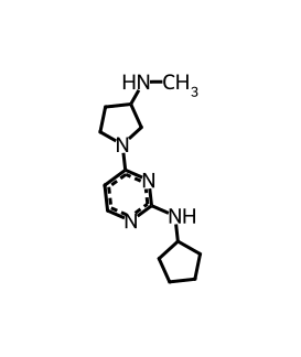 CNC1CCN(c2ccnc(NC3CCCC3)n2)C1